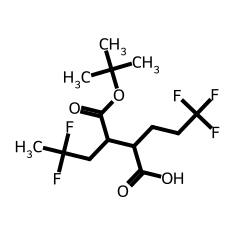 CC(F)(F)CC(C(=O)OC(C)(C)C)C(CCC(F)(F)F)C(=O)O